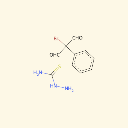 NNC(N)=S.O=CC(Br)(C=O)c1ccccc1